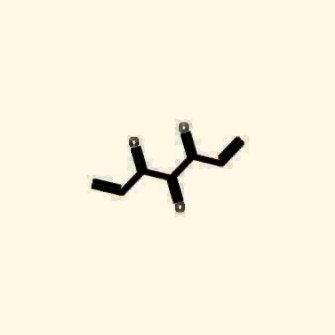 C=CC(=O)C(=O)C(=O)C=C